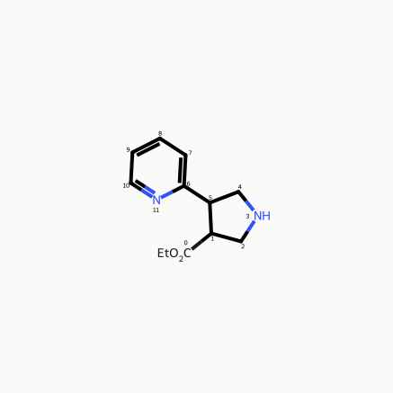 CCOC(=O)C1CNCC1c1ccccn1